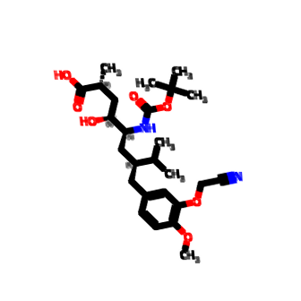 COc1ccc(C[C@@H](C[C@H](NC(=O)OC(C)(C)C)[C@@H](O)C[C@@H](C)C(=O)O)C(C)C)cc1OCC#N